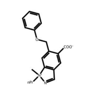 CCC[N+]1(C)N=Cc2cc(C(=O)[O-])c(COc3ccccc3)cc21